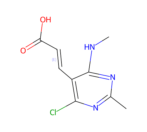 CNc1nc(C)nc(Cl)c1/C=C/C(=O)O